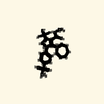 COC(=O)c1c(C(F)(F)F)nn(-c2ccc(S(C)(=O)=O)cc2)c1N1CCCCCC1